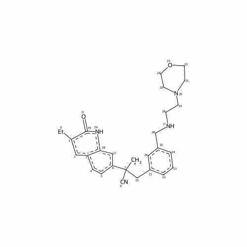 CCc1cc2ccc(C(C)(C#N)Cc3cccc(CNCCN4CCOCC4)c3)cc2[nH]c1=O